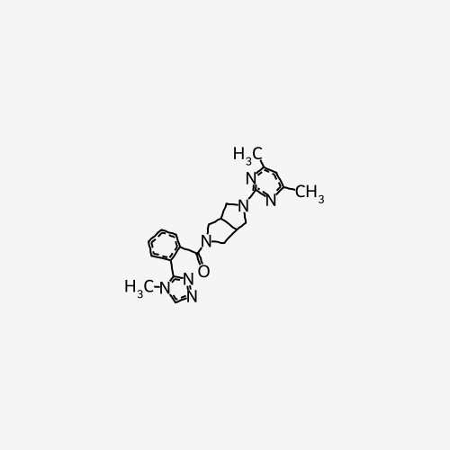 Cc1cc(C)nc(N2CC3CN(C(=O)c4ccccc4-c4nncn4C)CC3C2)n1